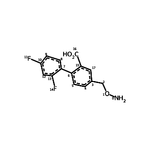 NOCc1ccc(-c2ccc(F)cc2F)c(C(=O)O)c1